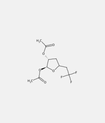 CC(=O)O[C@@H]1OC(CC(F)(F)F)C[C@H]1OC(C)=O